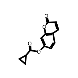 O=C(Oc1ccc2ccc(=O)oc2c1)C1CC1